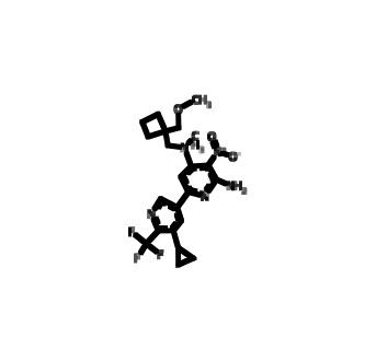 COCC1(CN(C)c2cc(-c3cnc(C(F)(F)F)c(C4CC4)c3)nc(N)c2[N+](=O)[O-])CCC1